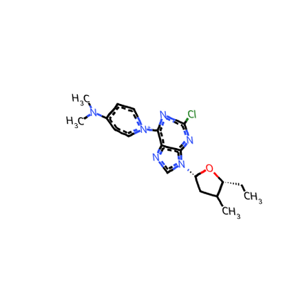 CC[C@H]1O[C@@H](n2cnc3c(-[n+]4ccc(N(C)C)cc4)nc(Cl)nc32)CC1C